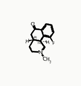 CN1CC[C@@H]2CC(=O)c3cccc(F)c3[C@H]2C1